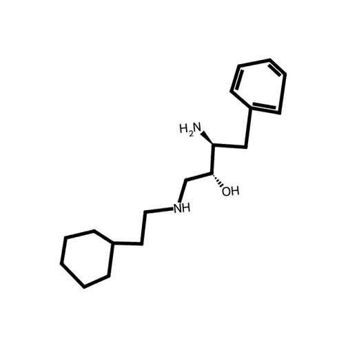 N[C@@H](Cc1ccccc1)[C@H](O)CNCCC1CCCCC1